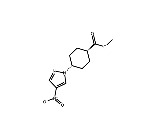 COC(=O)[C@H]1CC[C@H](n2cc([N+](=O)[O-])cn2)CC1